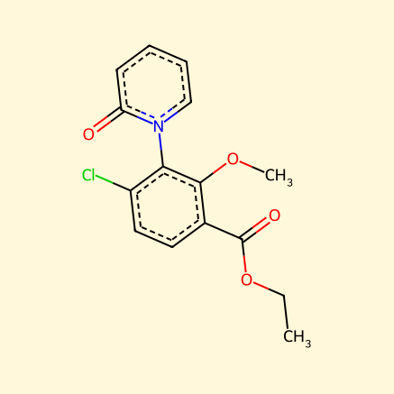 CCOC(=O)c1ccc(Cl)c(-n2ccccc2=O)c1OC